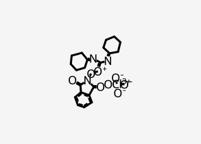 O=C1c2ccccc2C(=O)N1O[O+]=C(N=C1CCCCC1)N=C1CCCCC1.[O-][Cl+3]([O-])([O-])[O-]